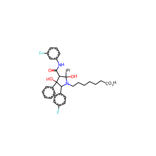 CC(C)C1(O)C(C(=O)Nc2cccc(F)c2)C(O)(c2ccccc2)C(c2ccc(F)cc2)N1CCCCCCC(=O)O